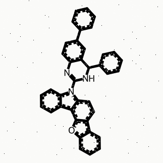 c1ccc(-c2ccc3c(c2)C(c2ccccc2)NC(n2c4ccccc4c4c5oc6ccccc6c5ccc42)=N3)cc1